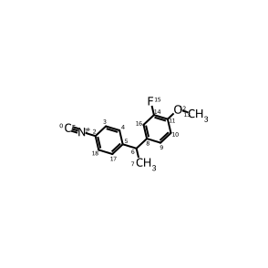 [C-]#[N+]c1ccc(C(C)c2ccc(OC)c(F)c2)cc1